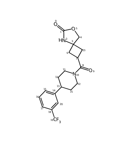 O=C1NC2(CO1)CC(C(=O)N1CCC(c3cccc(C(F)(F)F)c3)CC1)C2